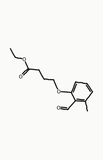 CCOC(=O)CCCOc1cccc(C)c1C=O